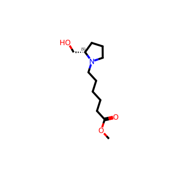 COC(=O)CCCCCN1CCC[C@H]1CO